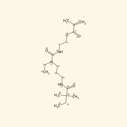 C=C(C)C(=O)OCCNC(=O)N(CC)CCCNC(=O)C(C)(C)CC